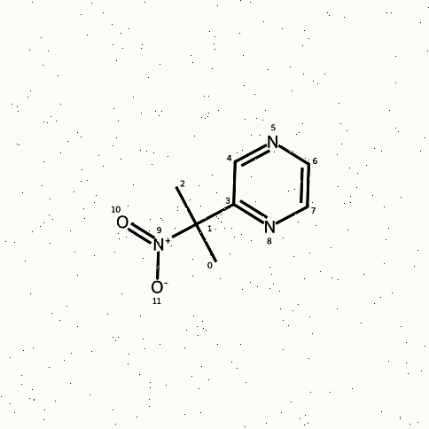 CC(C)(c1cnccn1)[N+](=O)[O-]